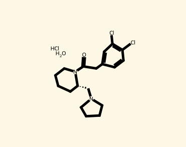 Cl.O.O=C(Cc1ccc(Cl)c(Cl)c1)N1CCCC[C@H]1CN1CCCC1